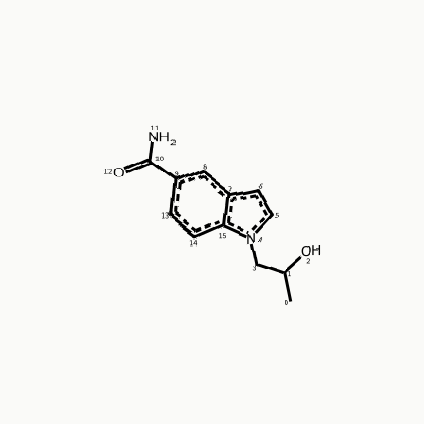 CC(O)Cn1ccc2cc(C(N)=O)ccc21